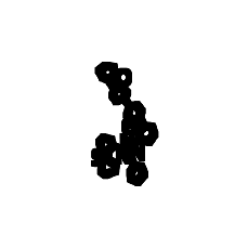 c1ccc(-c2nc(-c3cccc4c3oc3cc(-c5ccc6c(c5)oc5ccccc56)ccc34)nc(-c3cccc4sc5ccccc5c34)n2)cc1